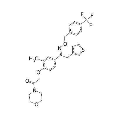 Cc1cc(C(Cc2ccsc2)=NOCc2ccc(C(F)(F)F)cc2)ccc1OCC(=O)N1CCOCC1